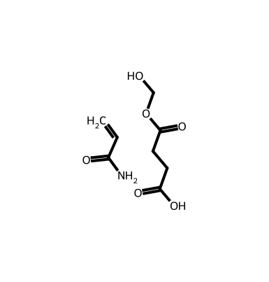 C=CC(N)=O.O=C(O)CCC(=O)OCO